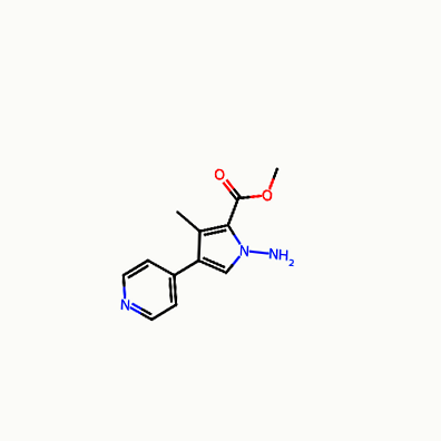 COC(=O)c1c(C)c(-c2ccncc2)cn1N